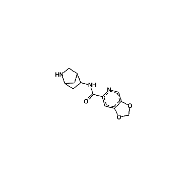 O=C(NC1CC2CC1CN2)c1cc2c(cn1)OCO2